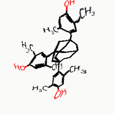 Cc1cc(C23CC4CC(c5cc(C)c(O)cc5C)(C2)CC(c2cc(C)c(O)cc2C)(C4)C3)c(C)cc1O